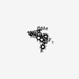 CO[C@]1(C)C[C@H](N([C@H]2CCC3=Cc4c(cnn4-c4ccc(F)cc4)C[C@]3(C(=O)c3cc(C(F)(F)F)ccn3)C2)S(=O)(=O)c2ccn(C)n2)C1